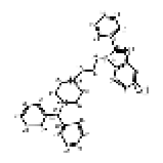 Clc1ccc2c(c1)nc(-c1ccccc1)n2CCCN1CCN(C(c2ccccc2)c2ccccc2)CC1